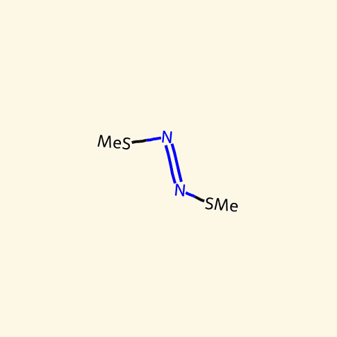 CS/N=N/SC